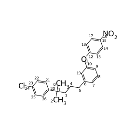 CC(C)(CCCc1cccc(Oc2ccc([N+](=O)[O-])cc2)c1)c1ccc(Cl)cc1